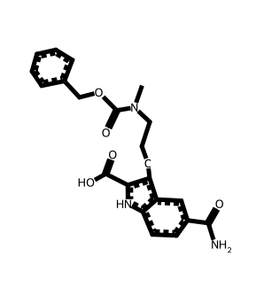 CN(CCCc1c(C(=O)O)[nH]c2ccc(C(N)=O)cc12)C(=O)OCc1ccccc1